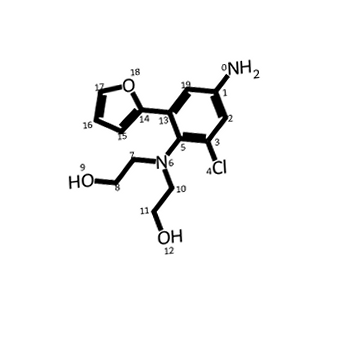 Nc1cc(Cl)c(N(CCO)CCO)c(-c2ccco2)c1